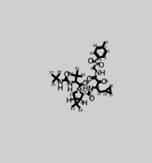 Cc1ccc(S(=O)(=O)CNC(=O)C(=O)C(CC2CC2)NC(=O)[C@@H]2[C@@H]3[C@H](CN2C(=O)[C@@H](NC(=O)NC(C)(C)C)C(C)(C)C)C3(C)C)cc1